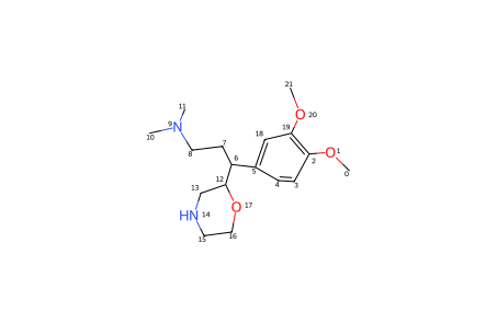 COc1ccc(C(CCN(C)C)C2CNCCO2)cc1OC